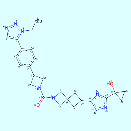 CC(C)(C)Cn1nncc1-c1ccc(C2CN(C(=O)N3CC4(CC(c5nc(C6(O)CC6)n[nH]5)C4)C3)C2)cc1